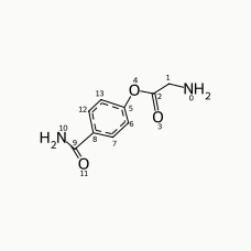 NCC(=O)Oc1ccc(C(N)=O)cc1